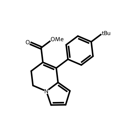 COC(=O)C1=C(c2ccc(C(C)(C)C)cc2)c2cccn2CC1